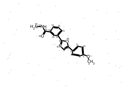 COc1ccc(-c2cnc(-c3cccc(C(=O)NN)c3)o2)cc1